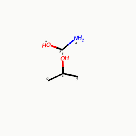 CC(C)O.NCO